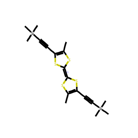 CC1=C(C#C[Si](C)(C)C)S/C(=C2\SC(C)=C(C#C[Si](C)(C)C)S2)S1